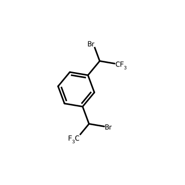 FC(F)(F)C(Br)c1cccc(C(Br)C(F)(F)F)c1